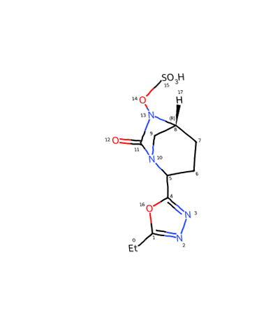 CCc1nnc(C2CC[C@@H]3CN2C(=O)N3OS(=O)(=O)O)o1